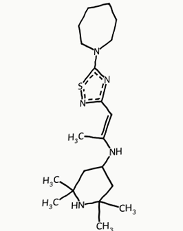 C/C(=C\c1nsc(N2CCCCCC2)n1)NC1CC(C)(C)NC(C)(C)C1